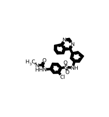 CNC(=O)Nc1ccc(S(=O)(=O)Nc2cccc(-c3ncnc4ccccc34)c2)c(Cl)c1